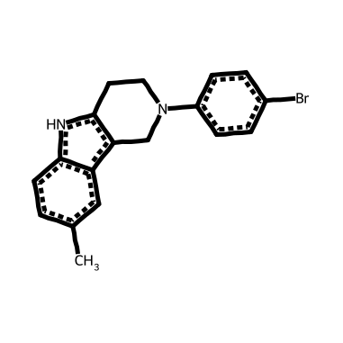 Cc1ccc2[nH]c3c(c2c1)CN(c1ccc(Br)cc1)CC3